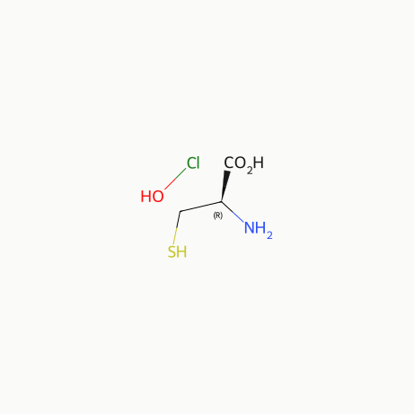 N[C@@H](CS)C(=O)O.OCl